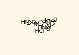 C[C@]12CC/C(=N\O[C@@H]3CCNC3)CC1NC(=O)[C@@H]1[C@@H]2CC[C@]2(C)C(=O)CC[C@@H]12.Cl